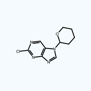 Clc1ncc2c(ncn2C2CCCCO2)n1